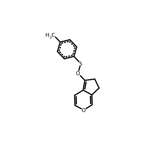 Cc1ccc(SOC2=C3C=COC=C3CC2)cc1